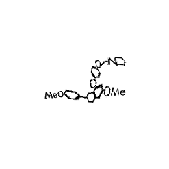 COc1ccc(C2CCc3cc(OC)cc(Oc4ccc(OCCN5CCCCC5)cc4)c3C2)cc1